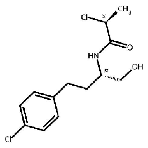 C[C@H](Cl)C(=O)N[C@H](CO)CCc1ccc(Cl)cc1